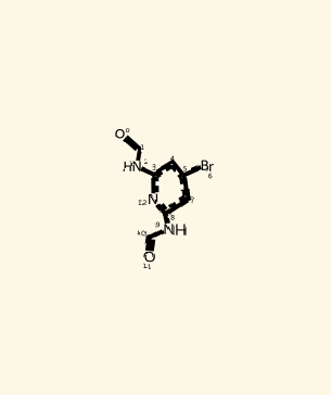 O=CNc1cc(Br)cc(NC=O)n1